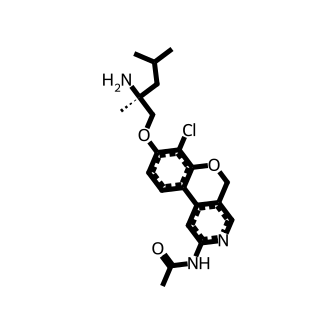 CC(=O)Nc1cc2c(cn1)COc1c-2ccc(OC[C@@](C)(N)CC(C)C)c1Cl